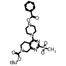 CC(C)(C)OC(=O)N1CCc2c(nc(S(C)(=O)=O)nc2N2CCN(OC(=O)c3ccccc3)CC2)C1